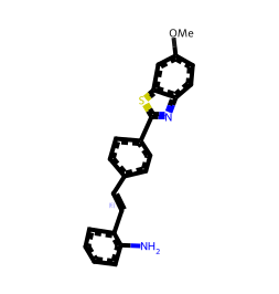 COc1ccc2nc(-c3ccc(/C=C/c4ccccc4N)cc3)sc2c1